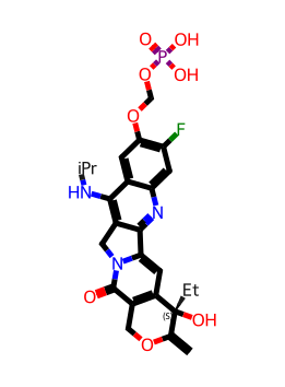 C=C1OCc2c(cc3n(c2=O)Cc2c-3nc3cc(F)c(OCOP(=O)(O)O)cc3c2NC(C)C)[C@@]1(O)CC